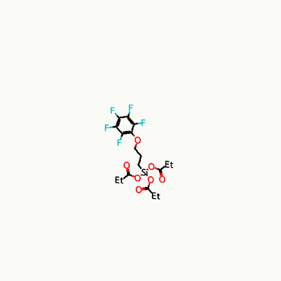 CCC(=O)O[Si](CCCOc1c(F)c(F)c(F)c(F)c1F)(OC(=O)CC)OC(=O)CC